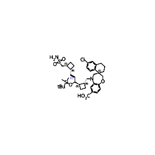 CC(C)(C)[Si](C)(C)OC(/C=C/[C@H]1CC[C@@H]1CS(N)(=O)=O)[C@@H]1CC[C@H]1CN1C[C@@]2(CCCc3cc(Cl)ccc32)COc2ccc(C(=O)O)cc21